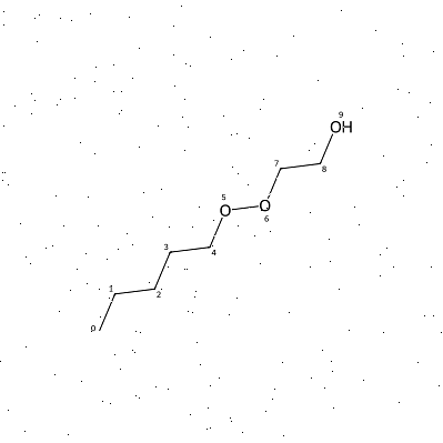 CCCCCOOCCO